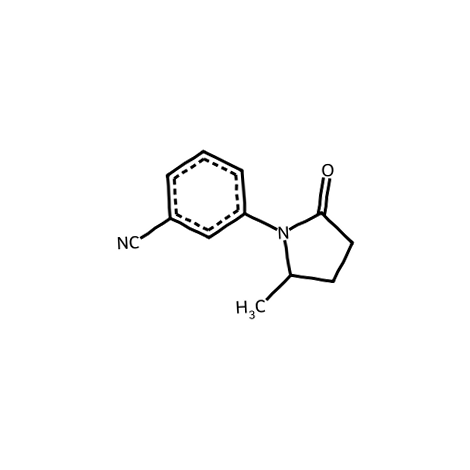 CC1CCC(=O)N1c1cccc(C#N)c1